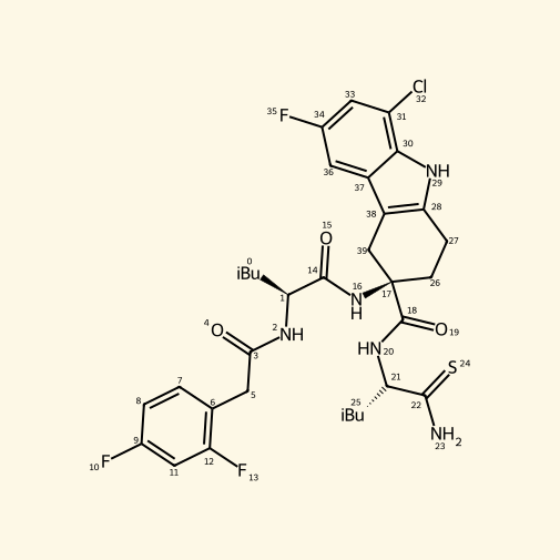 CCC(C)[C@H](NC(=O)Cc1ccc(F)cc1F)C(=O)N[C@]1(C(=O)NC(C(N)=S)[C@@H](C)CC)CCc2[nH]c3c(Cl)cc(F)cc3c2C1